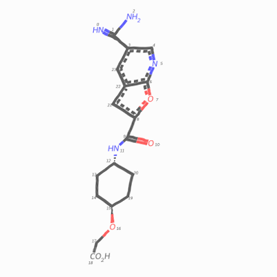 N=C(N)c1cnc2oc(C(=O)N[C@H]3CC[C@H](OCC(=O)O)CC3)cc2c1